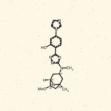 CO[C@@H]1C[C@@]2(C)C[C@H](N(C)c3nnc(-c4ccc(-n5ccnc5)cc4O)s3)C[C@@H]1N2